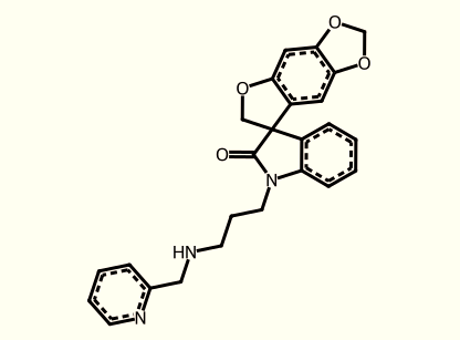 O=C1N(CCCNCc2ccccn2)c2ccccc2C12COc1cc3c(cc12)OCO3